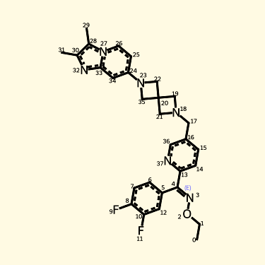 CCO/N=C(\c1ccc(F)c(F)c1)c1ccc(CN2CC3(C2)CN(c2ccn4c(C)c(C)nc4c2)C3)cn1